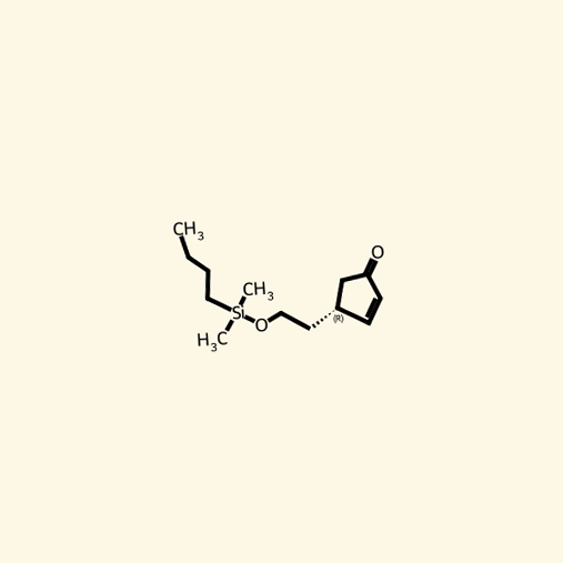 CCCC[Si](C)(C)OCC[C@H]1C=CC(=O)C1